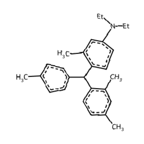 CCN(CC)c1ccc(C(c2ccc(C)cc2)c2ccc(C)cc2C)c(C)c1